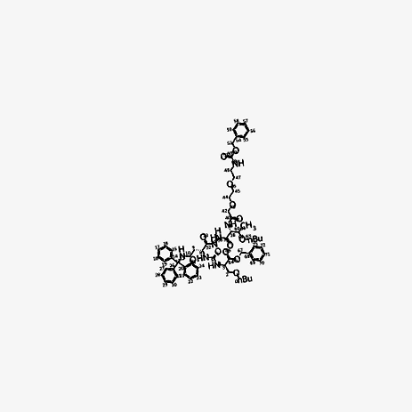 CCCCOC[C@@H](NC(=O)N[C@H](CC(=O)NC(c1ccccc1)(c1ccccc1)c1ccccc1)C(=O)NNC(=O)[C@H](NC(=O)COCCOCCNC(=O)OCc1ccccc1)C(C)OCCCC)C(=O)OCc1ccccc1